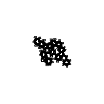 c1ccc(CC2c3ccccc3-c3c(-c4nc(-c5cccc6ccccc56)nc(-c5c(-n6c7ccccc7c7cc8ccccc8cc76)ccc6oc7ccccc7c56)n4)cccc32)cc1